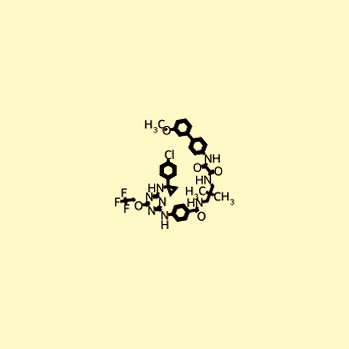 COc1cccc(-c2ccc(NC(=O)C(=O)NCC(C)(C)CNC(=O)c3ccc(Nc4nc(NC5(c6ccc(Cl)cc6)CC5)nc(OCC(F)(F)F)n4)cc3)cc2)c1